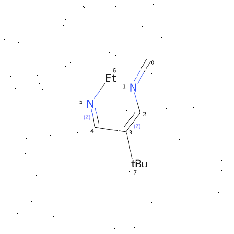 C=N/C=C(\C=N/CC)C(C)(C)C